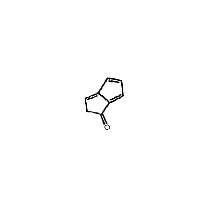 O=C1CC=C2C=CC=C12